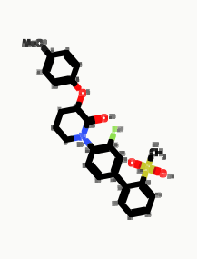 COc1ccc(OC2CCCN(c3ccc(-c4ccccc4S(C)(=O)=O)cc3F)C2=O)cc1